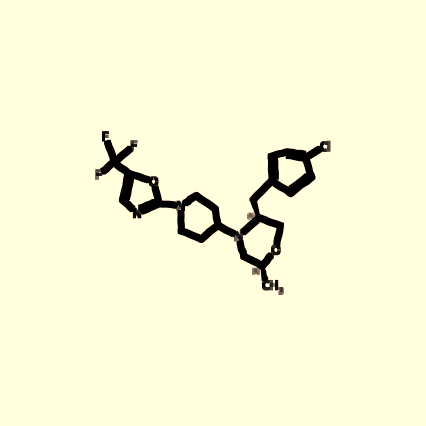 C[C@H]1CN(C2CCN(c3ncc(C(F)(F)F)o3)CC2)[C@@H](Cc2ccc(Cl)cc2)CO1